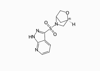 O=S(=O)(c1n[nH]c2ncccc12)N1C[C@H]2CC1CO2